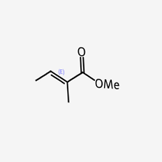 C/C=C(\C)C(=O)OC